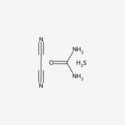 N#CC#N.NC(N)=O.S